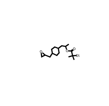 CCC(C)(C)C(=O)OC(C)CC1CCC(CC2CO2)CC1